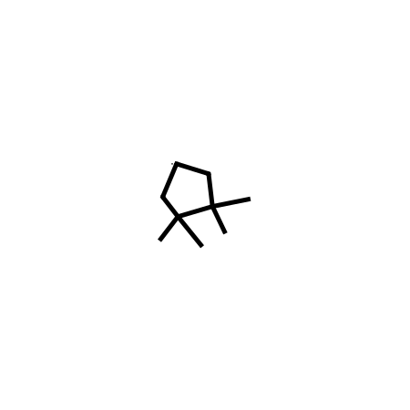 CC1(C)C[CH]CC1(C)C